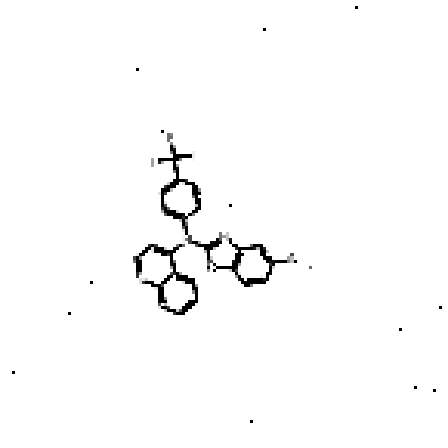 Nc1ccc2oc(N(c3ccc(C(F)(F)F)cc3)c3ccnc4ccccc34)nc2c1